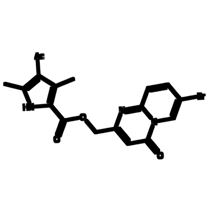 CC(=O)c1c(C)[nH]c(C(=O)OCc2cc(=O)n3cc(Br)ccc3n2)c1C